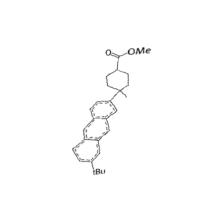 COC(=O)C1CCC(C)(c2ccc3cc4ccc(C(C)(C)C)cc4cc3c2)CC1